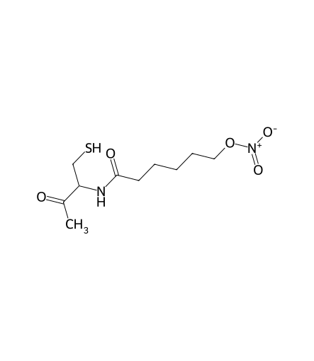 CC(=O)C(CS)NC(=O)CCCCCO[N+](=O)[O-]